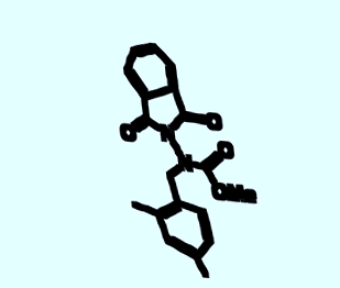 COC(=O)N(Cc1ccc(C)cc1C)N1C(=O)c2ccccc2C1=O